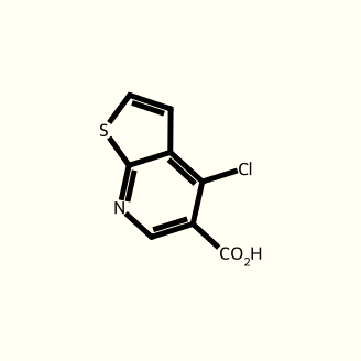 O=C(O)c1cnc2sccc2c1Cl